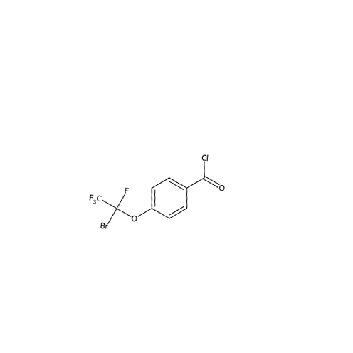 O=C(Cl)c1ccc(OC(F)(Br)C(F)(F)F)cc1